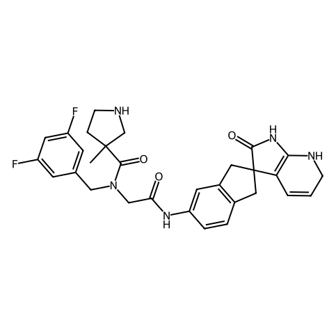 CC1(C(=O)N(CC(=O)Nc2ccc3c(c2)CC2(C3)C(=O)NC3=C2C=CCN3)Cc2cc(F)cc(F)c2)CCNC1